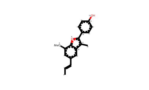 C/C=C/c1cc(OC)c2oc(-c3ccc(O)cc3)c(C)c2c1